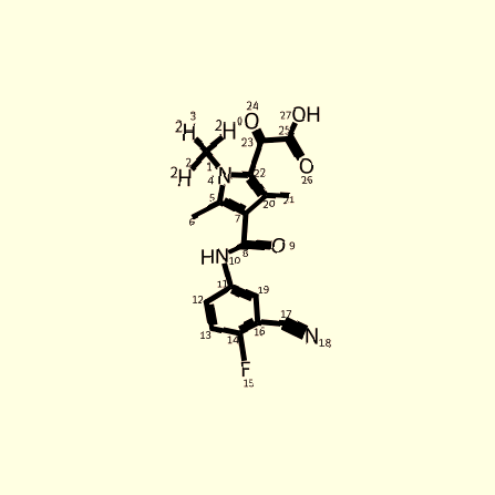 [2H]C([2H])([2H])n1c(C)c(C(=O)Nc2ccc(F)c(C#N)c2)c(C)c1C(=O)C(=O)O